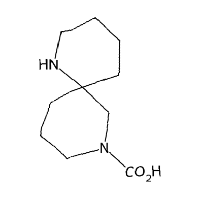 O=C(O)N1CCCC2(CCCCN2)C1